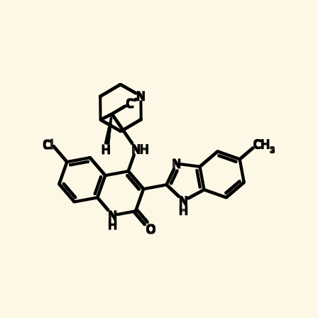 Cc1ccc2[nH]c(-c3c(N[C@H]4CN5CCC4CC5)c4cc(Cl)ccc4[nH]c3=O)nc2c1